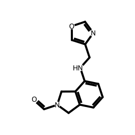 O=CN1Cc2cccc(NCc3cocn3)c2C1